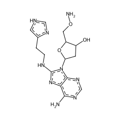 NOCC1OC(n2c(NCCc3c[nH]cn3)nc3c(N)ncnc32)CC1O